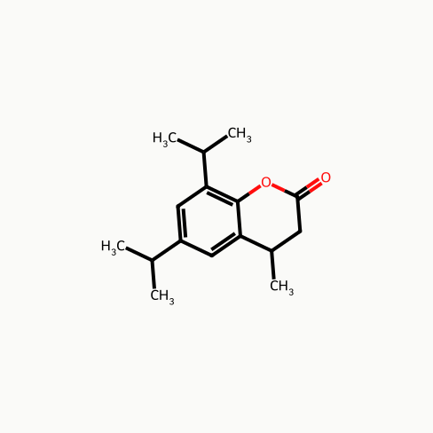 CC(C)c1cc(C(C)C)c2c(c1)C(C)CC(=O)O2